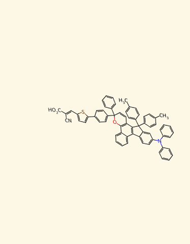 Cc1ccc(C2(c3ccc(C)cc3)c3cc(N(c4ccccc4)c4ccccc4)ccc3-c3c2c2c(c4ccccc34)OC(c3ccccc3)(c3ccc(-c4ccc(/C=C(\C#N)C(=O)O)s4)cc3)C=C2)cc1